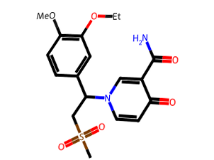 CCOc1cc(C(CS(C)(=O)=O)n2ccc(=O)c(C(N)=O)c2)ccc1OC